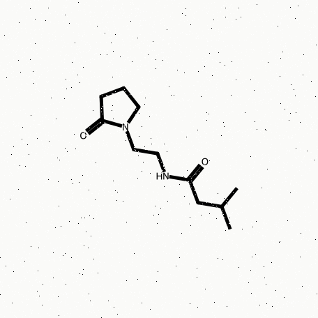 CC(C)CC(=O)NCCN1CCCC1=O